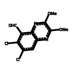 COc1nc2cc(Cl)c(Cl)c(C=O)c2nc1OC